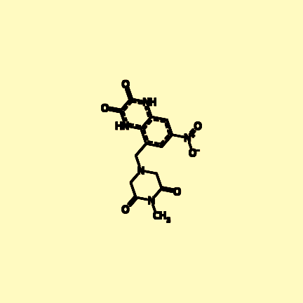 CN1C(=O)CN(Cc2cc([N+](=O)[O-])cc3[nH]c(=O)c(=O)[nH]c23)CC1=O